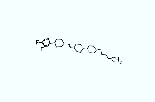 CCCCC[C@H]1CC[C@H]([C@H]2CC[C@H](C=C[C@H]3CC[C@H](c4ccc(F)c(F)c4)CC3)CC2)CC1